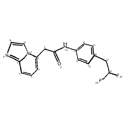 O=C(Cc1cccc2nccn12)Nc1ccc(CC(F)F)cc1